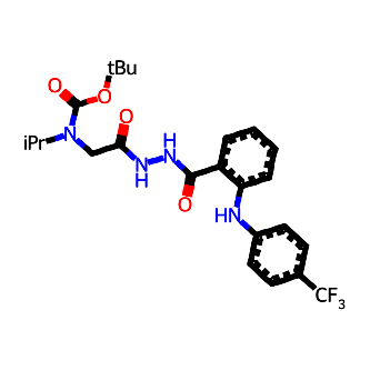 CC(C)N(CC(=O)NNC(=O)c1ccccc1Nc1ccc(C(F)(F)F)cc1)C(=O)OC(C)(C)C